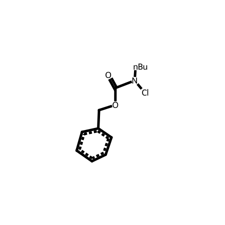 [CH2]CCCN(Cl)C(=O)OCc1ccccc1